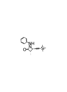 C[C@@H]1C(=O)N(Nc2ccccc2)[C@H]1C#C[Si](C)(C)C